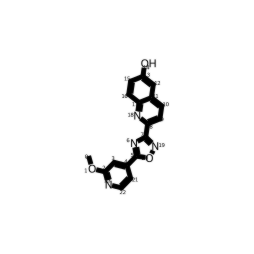 COc1cc(-c2nc(-c3ccc4cc(O)ccc4n3)no2)ccn1